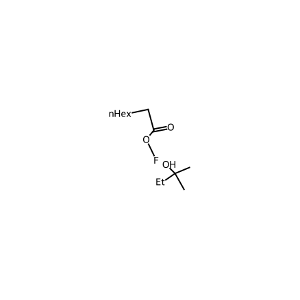 CCC(C)(C)O.CCCCCCCC(=O)OF